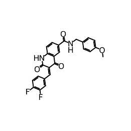 COc1ccc(CNC(=O)c2ccc3c(c2)C(=O)/C(=C/c2ccc(F)c(F)c2)C(=O)N3)cc1